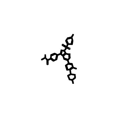 Cc1ccc(S(=O)(=O)n2cc(-c3ccc(C(=O)N(C)C)cc3)c3cc(-c4ccc(C5CCN(C)CC5)c(C)c4)cnc32)cc1